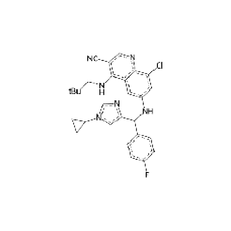 CC(C)(C)CNc1c(C#N)cnc2c(Cl)cc(NC(c3ccc(F)cc3)c3cn(C4CC4)cn3)cc12